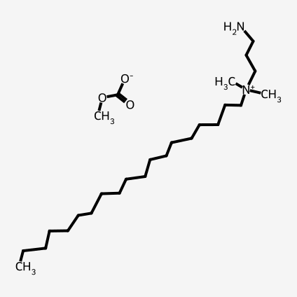 CCCCCCCCCCCCCCCCCCC[N+](C)(C)CCCN.COC(=O)[O-]